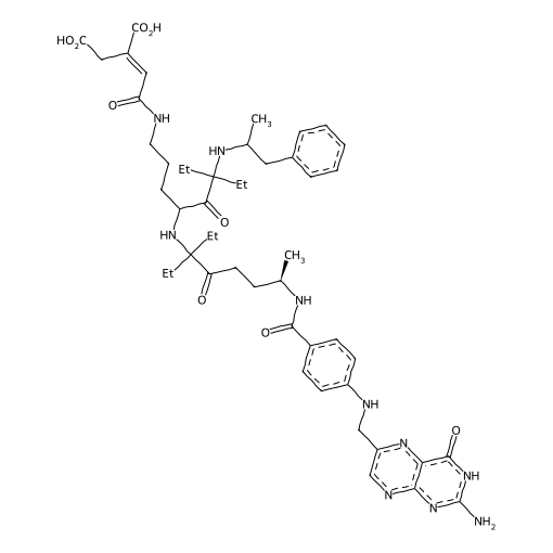 CCC(CC)(NC(CCCNC(=O)/C=C(\CC(=O)O)C(=O)O)C(=O)C(CC)(CC)NC(C)Cc1ccccc1)C(=O)CC[C@@H](C)NC(=O)c1ccc(NCc2cnc3nc(N)[nH]c(=O)c3n2)cc1